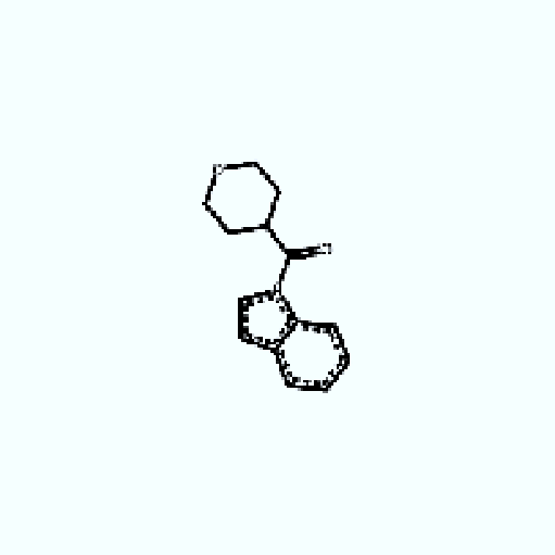 O=C(C1CCOCC1)n1ccc2c[c]ccc21